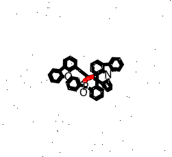 O=P1(c2ccccc2)c2ccccc2C2(c3ccccc3-n3c4ccccc4c4cccc2c43)c2ccc(-c3cccc4c3oc3ccccc34)cc21